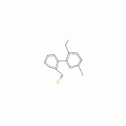 CCc1ccc(C)cc1-c1ccccc1C=S